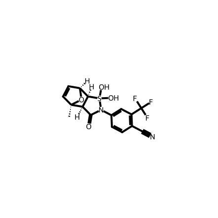 C[C@]12C=C[C@H](O1)[C@@H]1[C@H]2C(=O)N(c2ccc(C#N)c(C(F)(F)F)c2)S1(O)O